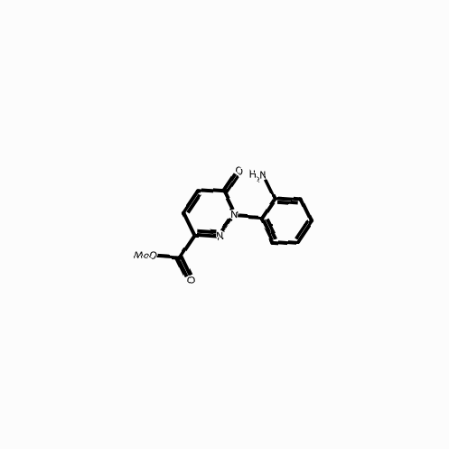 COC(=O)c1ccc(=O)n(-c2ccccc2N)n1